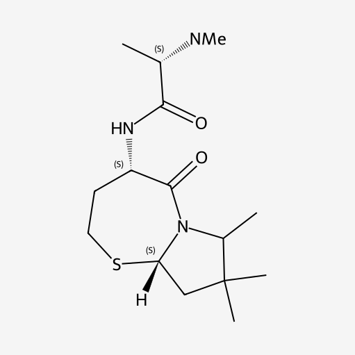 CN[C@@H](C)C(=O)N[C@H]1CCS[C@H]2CC(C)(C)C(C)N2C1=O